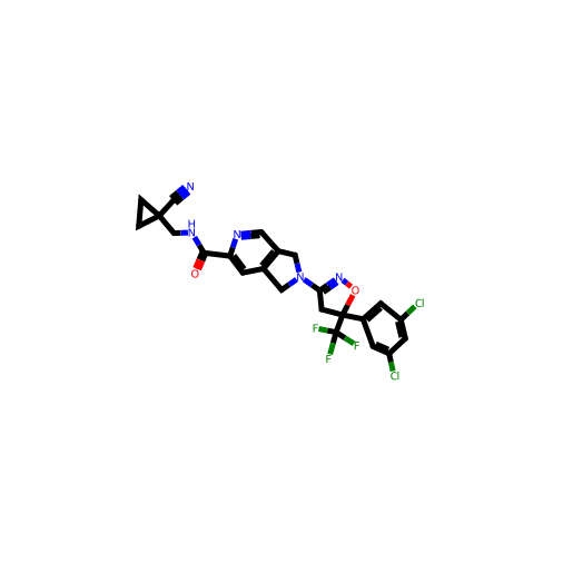 N#CC1(CNC(=O)c2cc3c(cn2)CN(C2=NOC(c4cc(Cl)cc(Cl)c4)(C(F)(F)F)C2)C3)CC1